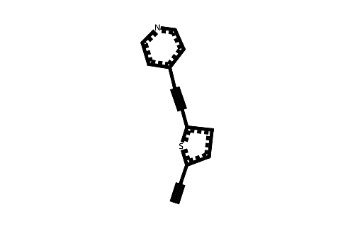 C#Cc1ccc(C#Cc2ccncc2)s1